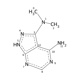 CN(C)c1n[nH]c2ncnc(N)c12